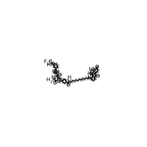 NC(=O)c1nn(-c2ccc(C(=O)NCCCCCCCCCCCNc3cccc4c3C(=O)N(C3CCC(=O)NC3=O)C4=O)cc2)cc1NC(=O)c1coc(-c2ccnc(NCC(F)(F)F)c2)n1